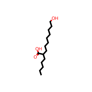 CCCCCC(CCCCCCCCO)C(=O)O